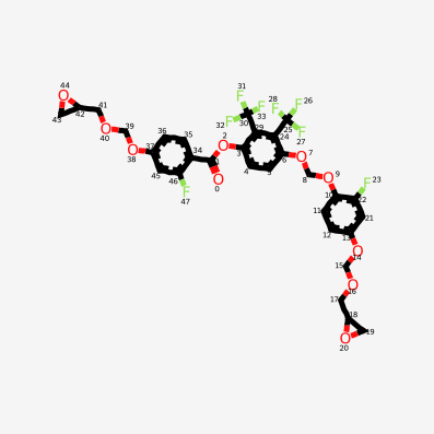 O=C(Oc1ccc(OCOc2ccc(OCOCC3CO3)cc2F)c(C(F)(F)F)c1C(F)(F)F)c1ccc(OCOCC2CO2)cc1F